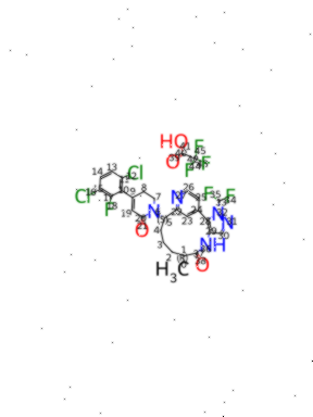 C[C@@H]1CCC[C@H](N2CCC(c3c(Cl)ccc(Cl)c3F)=CC2=O)c2cc(ccn2)-c2c(cnn2C(F)F)NC1=O.O=C(O)C(F)(F)F